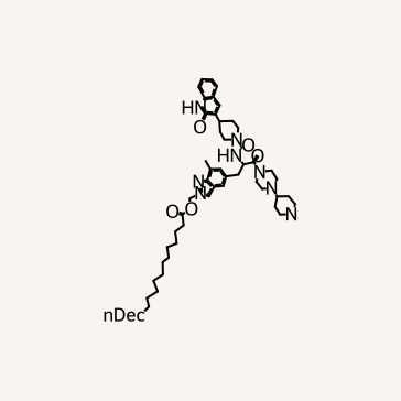 CCCCCCCCCCCCCCCCCCCCCC(=O)OCn1cc2cc(CC(NC(=O)N3CCC(c4cc5ccccc5[nH]c4=O)CC3)C(=O)N3CCN(C4CCN(C)CC4)CC3)cc(C)c2n1